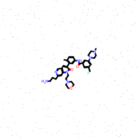 Cc1ccc(NC(=O)c2cc(CF)cc(N3CCN(C)CC3)c2)cc1-c1cc2cnc(CCCN)cc2n(CCN2CCOCC2)c1=O